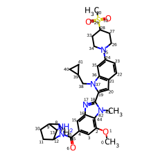 COc1cc(C(=O)N2CC3CCC2[C@@H]3N)cc2nc(-c3cc4ccc(N5CCC(S(C)(=O)=O)CC5)cc4n3CC3CC3)n(C)c12